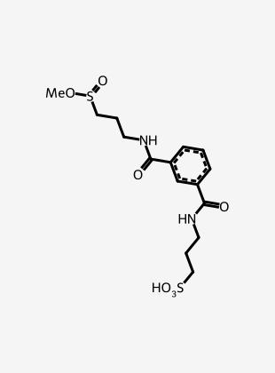 COS(=O)CCCNC(=O)c1cccc(C(=O)NCCCS(=O)(=O)O)c1